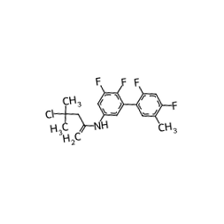 C=C(CC(C)(C)Cl)Nc1cc(F)c(F)c(-c2cc(C)c(F)cc2F)c1